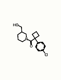 O=C(N1CCCC(CO)C1)C1(c2ccc(Cl)cc2)CCC1